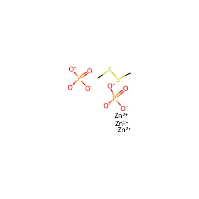 CSSC.O=P([O-])([O-])[O-].O=P([O-])([O-])[O-].[Zn+2].[Zn+2].[Zn+2]